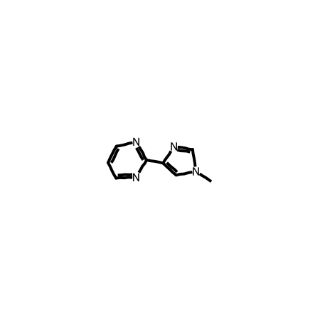 Cn1cnc(-c2ncccn2)c1